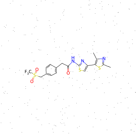 Cc1nc(C)c(-c2csc(NC(=O)Cc3ccc(CS(=O)(=O)C(F)(F)F)cc3)n2)s1